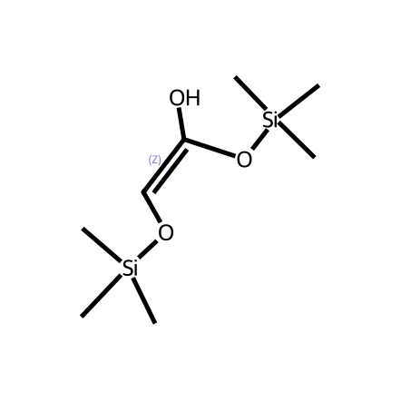 C[Si](C)(C)O/C=C(/O)O[Si](C)(C)C